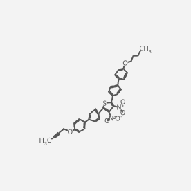 CC#CCOc1ccc(-c2ccc(-c3sc(-c4ccc(-c5ccc(OCCCC)cc5)cc4)c([N+](=O)[O-])c3[N+](=O)[O-])cc2)cc1